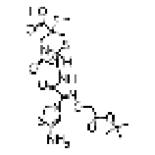 CSC1(C(=O)O)CS[C@@H]2C(NC(=O)C(=NOCC(=O)OC(C)(C)C)N3C=C(N)SC3)C(=O)N2C1